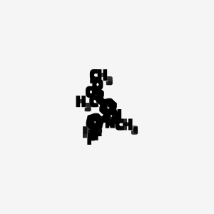 CCOC(=O)/C=C(\C)c1ccc2nc(C)nc(-c3cccc(C(F)(F)F)c3)c2c1